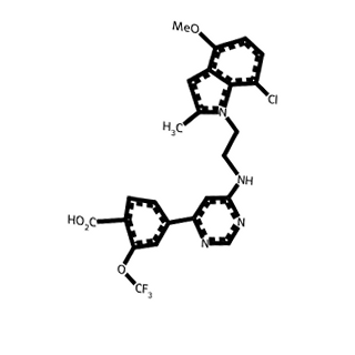 COc1ccc(Cl)c2c1cc(C)n2CCNc1cc(-c2ccc(C(=O)O)c(OC(F)(F)F)c2)ncn1